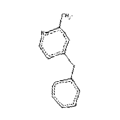 [CH2]c1cc(Cc2ccccc2)ccn1